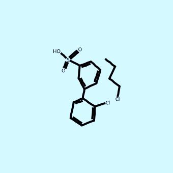 CCCCCl.O=S(=O)(O)c1cccc(-c2ccccc2Cl)c1